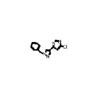 Clc1cc(-c2cnn(Cc3ccccc3)c2)ncn1